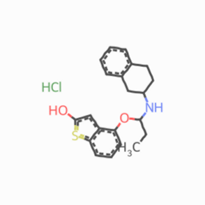 CCC(NC1CCc2ccccc2C1)Oc1cccc2sc(O)cc12.Cl